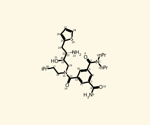 CCCN(CCC)C(=O)c1cc(C(N)=O)cc(C(=O)N(CCC(C)C)C[C@@H](O)[C@@H](N)Cc2cccs2)c1